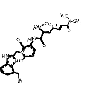 CC(C)Cc1cccc2[nH]c(Cn3c(Cl)ccc(NC(=O)C(CCC=CC(=O)N(C)C)NC(=O)O)c3=O)nc12